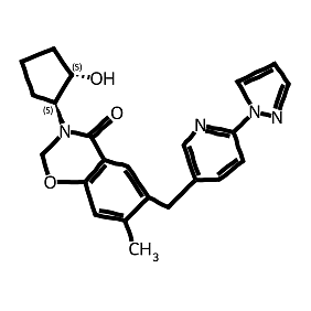 Cc1cc2c(cc1Cc1ccc(-n3cccn3)nc1)C(=O)N([C@H]1CCC[C@@H]1O)CO2